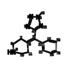 Cn1nnc(C(=C2CCNCC2)c2ccccc2)n1